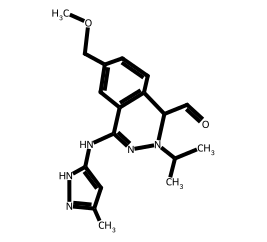 COCc1ccc2c(c1)C(Nc1cc(C)n[nH]1)=NN(C(C)C)C2C=O